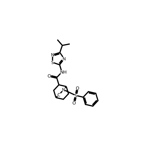 CC(C)c1nsc(NC(=O)C2CC3CCC2N(S(=O)(=O)c2ccccc2)C3)n1